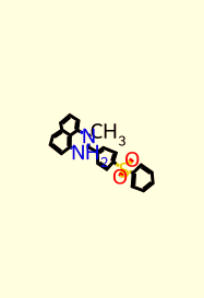 CN(Cc1ccc(S(=O)(=O)c2ccccc2)cc1)c1cccc2cccc(N)c12